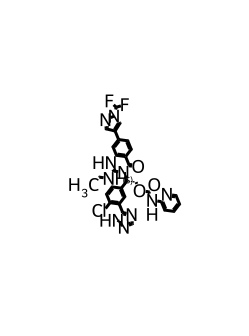 CCNC(=N)N(C(=O)c1ccc(-c2cnn(C(F)F)c2)cc1)[C@H](COC(=O)Nc1ccccn1)c1ccc(Cl)c(-c2ncn[nH]2)c1